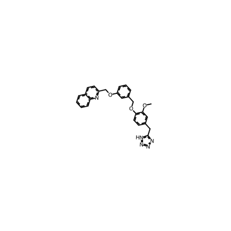 COc1cc(Cc2nnn[nH]2)ccc1OCc1cccc(OCc2ccc3ccccc3n2)c1